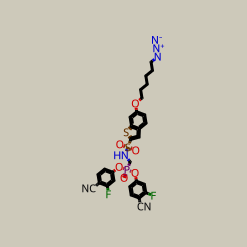 N#Cc1ccc(OP(=O)(CNS(=O)(=O)c2cc3ccc(OCCCCCCN=[N+]=[N-])cc3s2)Oc2ccc(C#N)c(F)c2)cc1F